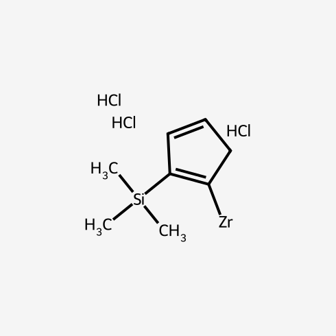 C[Si](C)(C)C1=[C]([Zr])CC=C1.Cl.Cl.Cl